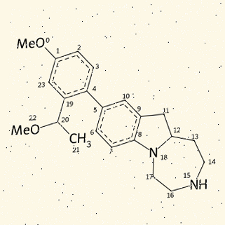 COc1ccc(-c2ccc3c(c2)CC2CCNCCN32)c(C(C)OC)c1